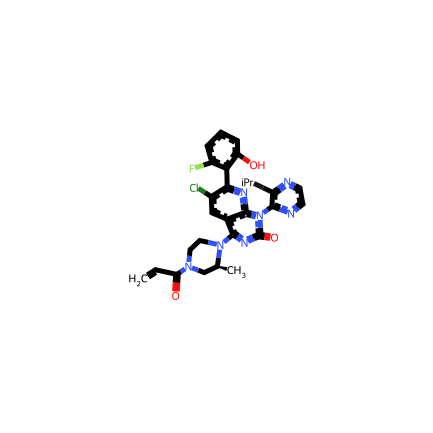 C=CC(=O)N1CCN(c2nc(=O)n(-c3nccnc3C(C)C)c3nc(-c4c(O)cccc4F)c(Cl)cc23)[C@@H](C)C1